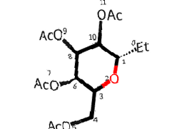 CC[C@@H]1OC(COC(C)=O)[C@@H](OC(C)=O)C(OC(C)=O)C1OC(C)=O